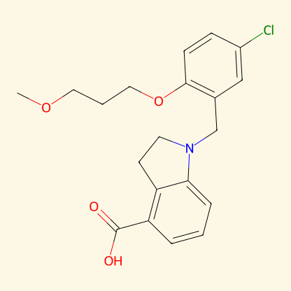 COCCCOc1ccc(Cl)cc1CN1CCc2c(C(=O)O)cccc21